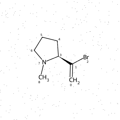 C=C(Br)[C@@H]1CCCN1C